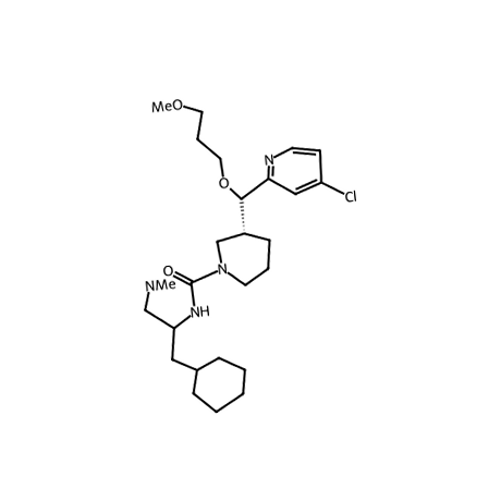 CNCC(CC1CCCCC1)NC(=O)N1CCC[C@@H](C(OCCCOC)c2cc(Cl)ccn2)C1